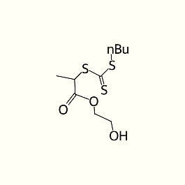 CCCCSC(=S)SC(C)C(=O)OCCO